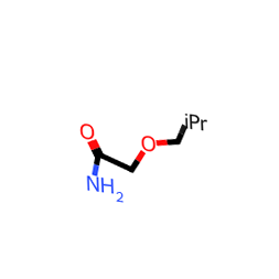 CC(C)COCC(N)=O